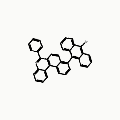 Brc1c2ccccc2c(-c2cccc3c2ccc2c(-c4ccccc4)nc4ccccc4c23)c2ccccc12